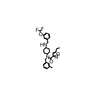 CCc1cc(C(=O)N(Cc2cccc(C)c2)C2CCC(NCc3cccc(OC(F)F)c3)CC2)no1